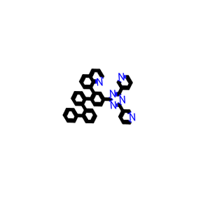 c1ccc(-c2ccccc2-c2ccccc2-c2ccc(-c3nc(-c4cccnc4)nc(-c4cccnc4)n3)cc2-c2cccc3cccnc23)cc1